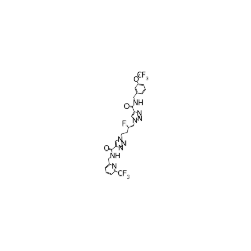 O=C(NCc1cccc(C(F)(F)F)n1)c1cn(CCC(F)Cn2cc(C(=O)NCc3cccc(OC(F)(F)F)c3)nn2)nn1